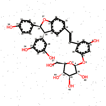 OC[C@H]1O[C@@H](Oc2cc(O)cc(C=Cc3ccc4c(c3)[C@H](c3cc(O)cc(O)c3)[C@@H](c3ccc(O)cc3)O4)c2)[C@H](O)[C@@H](O)[C@@H]1O